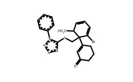 O=C1C=C(C2(CSc3nnnn3-c3ccccc3)C(Br)=CC=CC2C(=O)O)CCC1